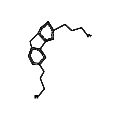 CC(C)CCCc1ccc2c(c1)-c1cc(CCCC(C)C)ccc1C2